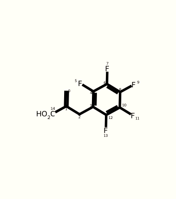 C=C(Cc1c(F)c(F)c(F)c(F)c1F)C(=O)O